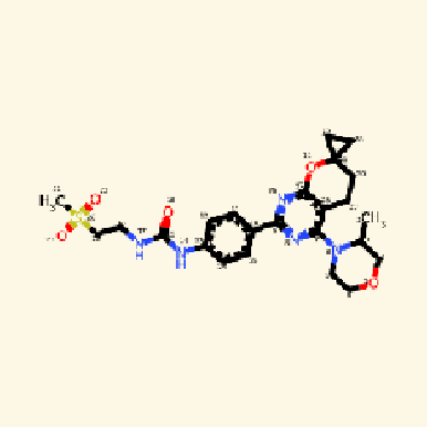 CC1COCCN1c1nc(-c2ccc(NC(=O)NCCS(C)(=O)=O)cc2)nc2c1CCC1(CC1)O2